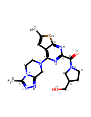 CCCc1cc2c(N3CCn4c(nnc4C(F)(F)F)C3)nc(C(=O)N3CCC(CO)C3)nc2s1